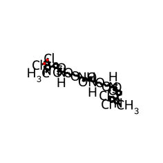 CN1Cc2c(Cl)cc(Cl)cc2C(c2cccc(S(=O)(=O)NCCOCCOCCNC(=O)CCC(=O)NCCOCCOCCNS(=O)(=O)c3cccc(C4CN(C)Cc5c(Cl)cc(Cl)cc54)c3)c2)C1